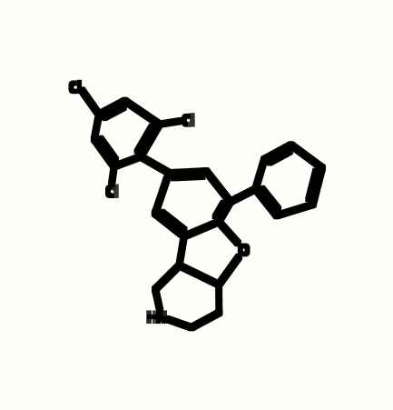 Clc1cc(Cl)c(-c2cc(-c3ccccc3)c3c(c2)C2CNCCC2O3)c(Cl)c1